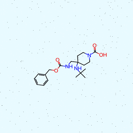 CC(C)(C)NC1(CNC(=O)OCc2ccccc2)CCN(C(=O)O)CC1